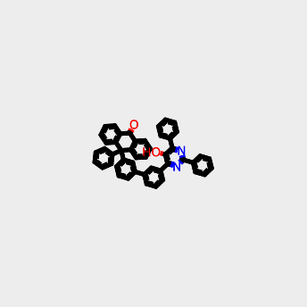 O=C1c2ccccc2C(c2ccccc2)(c2cccc(-c3cccc(-c4nc(-c5ccccc5)nc(-c5ccccc5)c4O)c3)c2)c2ccccc21